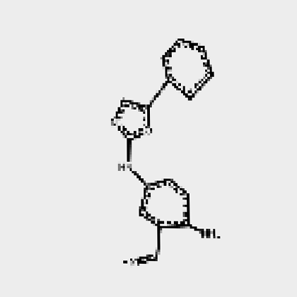 N=Cc1cc(Nc2ncc(-c3ccccc3)o2)ccc1N